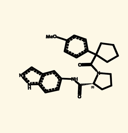 COc1ccc(C2(C(=O)N3CCC[C@@H]3C(=O)Nc3ccc4[nH]ncc4c3)CCCC2)cc1